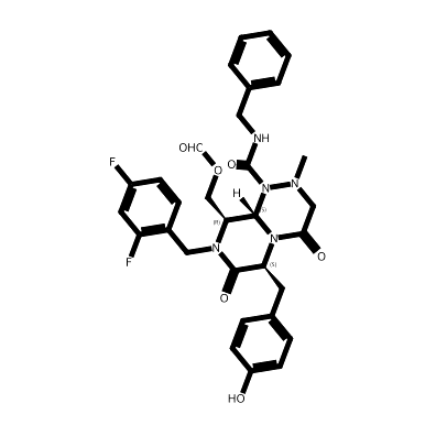 CN1CC(=O)N2[C@@H](Cc3ccc(O)cc3)C(=O)N(Cc3ccc(F)cc3F)[C@@H](COC=O)[C@@H]2N1C(=O)NCc1ccccc1